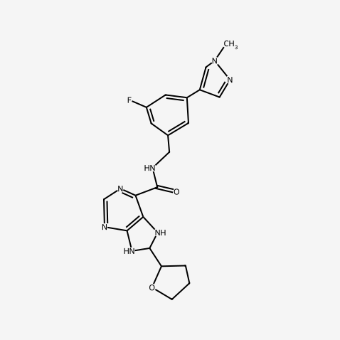 Cn1cc(-c2cc(F)cc(CNC(=O)c3ncnc4c3NC(C3CCCO3)N4)c2)cn1